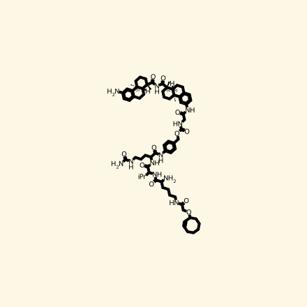 CC(C)C(NC(=O)C(N)CCCCNC(=O)COC1C#CCCCCC1)C(=O)NC(CCCNC(N)=O)C(=O)Nc1ccc(COC(=O)NCC(=O)Nc2ccc3c(c2)[C@@]2(C)CCC[C@](C)(C(=O)NC(=O)[C@@]4(C)CCC[C@]5(C)c6cc(N)ccc6CC[C@@H]45)[C@@H]2CC3)cc1